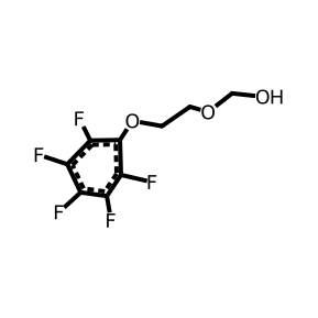 OCOCCOc1c(F)c(F)c(F)c(F)c1F